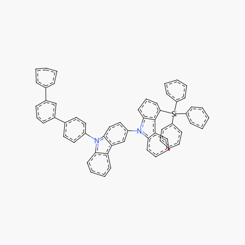 c1ccc(-c2cccc(-c3ccc(-n4c5ccccc5c5cc(-n6c7ccccc7c7c([Si](c8ccccc8)(c8ccccc8)c8ccccc8)cccc76)ccc54)cc3)c2)cc1